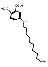 CCCCCCCCCCCCCCCCCCCNc1ccc(C(=O)O)c(C(=O)O)c1